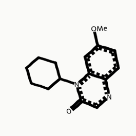 COc1ccc2ncc(=O)n(C3CCCCC3)c2c1